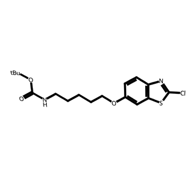 CC(C)(C)OC(=O)NCCCCCOc1ccc2nc(Cl)sc2c1